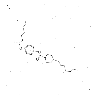 CCCCCC[C@@H](C)Oc1ccc(OC(=O)C2CCC(CCCC[C@@H](C)CC)CC2)cc1